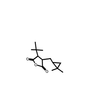 CC(C)(C)C1C(=O)OC(=O)C1CC1CC1(C)C